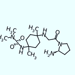 CN(C)S(=O)(=O)NC1(C)CCC(C)(NCC(=O)N2CCC[C@H]2N)CC1